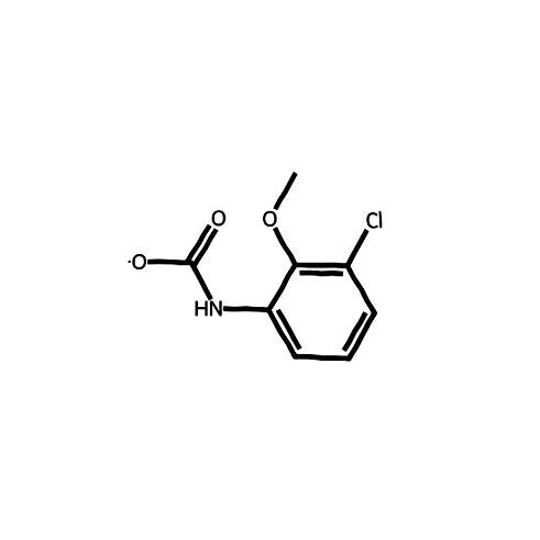 COc1c(Cl)cccc1NC([O])=O